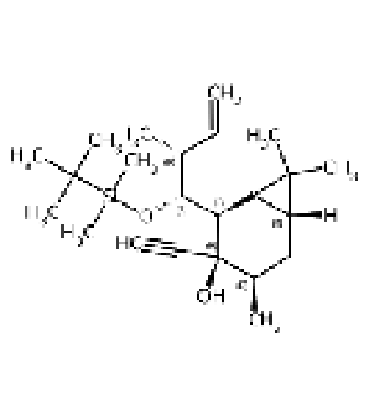 C#C[C@@]1(O)[C@H](C)C[C@@H]2C([C@@H]1[C@H](O[Si](C)(C)C(C)(C)C)[C@H](C)C=C)C2(C)C